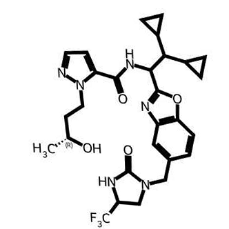 C[C@@H](O)CCn1nccc1C(=O)NC(c1nc2cc(CN3CC(C(F)(F)F)NC3=O)ccc2o1)C(C1CC1)C1CC1